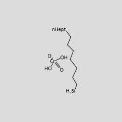 CCCCCCCCCCCCCC[SiH3].[O]=[Cr](=[O])([OH])[OH]